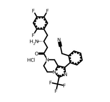 Cl.N#CCc1ccccc1-c1nc(C(F)(F)F)n2c1CN(C(=O)C[C@H](N)Cc1cc(F)c(F)cc1F)CC2